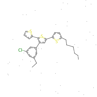 CCCCCCc1ccc(-c2cc(-c3cc(Cl)cc(CC)c3)c(-c3cccs3)s2)s1